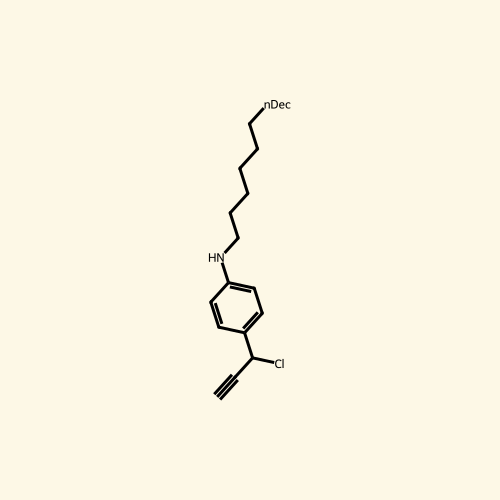 C#CC(Cl)c1ccc(NCCCCCCCCCCCCCCCC)cc1